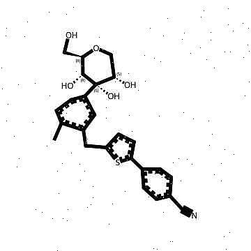 Cc1ccc([C@@]2(O)[C@H](O)[C@@H](CO)OC[C@@H]2O)cc1Cc1ccc(-c2ccc(C#N)cc2)s1